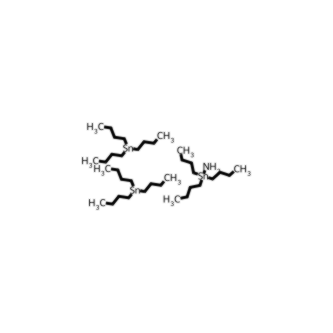 CCC[CH2][Sn]([CH2]CCC)[CH2]CCC.CCC[CH2][Sn]([CH2]CCC)[CH2]CCC.CCC[CH2][Sn]([NH2])([CH2]CCC)[CH2]CCC